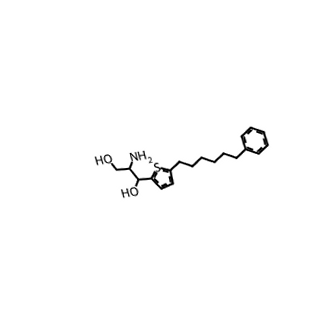 NC(CO)C(O)c1ccc(CCCCCCc2ccccc2)s1